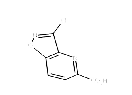 O=C(O)c1ccc2onc(Cl)c2n1